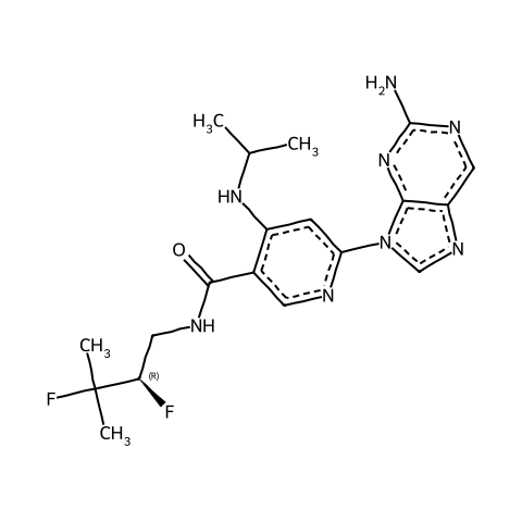 CC(C)Nc1cc(-n2cnc3cnc(N)nc32)ncc1C(=O)NC[C@@H](F)C(C)(C)F